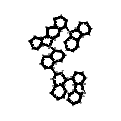 c1cc(-n2c3ccccc3c3ccccc32)c2cc3c(cc2c1)c1ccccc1n3-c1cccc2c(-c3nc(-c4cccc5oc6ccccc6c45)c4ccccc4n3)cccc12